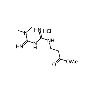 COC(=O)CCNC(=N)NC(=N)N(C)C.Cl